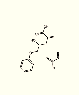 C=C(CC(O)COc1ccccc1)C(=O)O.C=CC(=O)O